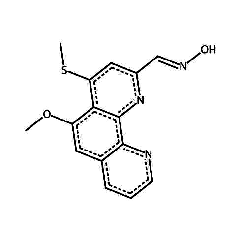 COc1cc2cccnc2c2nc(C=NO)cc(SC)c12